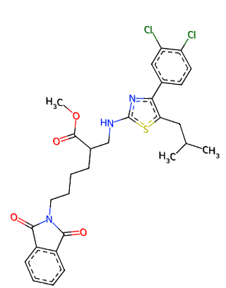 COC(=O)C(CCCCN1C(=O)c2ccccc2C1=O)CNc1nc(-c2ccc(Cl)c(Cl)c2)c(CC(C)C)s1